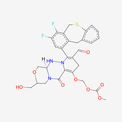 COC(=O)OCOC1=C2C(=O)N3CC(CO)OC[C@H]3NN2C(c2cc(F)c(F)c3c2Cc2ccccc2SC3)=C(C=O)C1